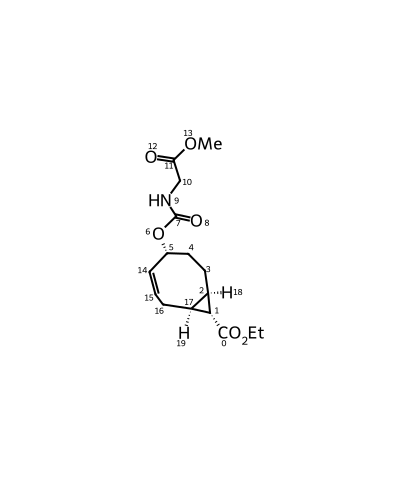 CCOC(=O)[C@H]1[C@@H]2CC[C@@H](OC(=O)NCC(=O)OC)/C=C\C[C@@H]21